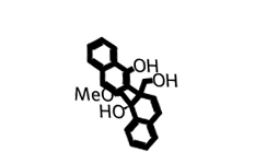 COC[C@]1(O)c2ccccc2C=CC1(CO)c1ccc2ccccc2c1O